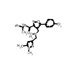 Cc1cc(CN(C)Cc2c(C(=O)NC(C)C(C)C)noc2-c2ccc(C(F)(F)F)cc2)nn1C